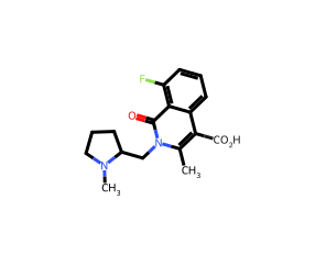 Cc1c(C(=O)O)c2cccc(F)c2c(=O)n1CC1CCCN1C